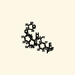 Cc1nnc(NC(C)c2cccc(C(F)(F)F)c2)c2nc(OC3CCOC3)ccc12